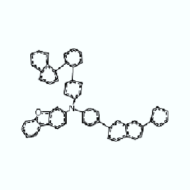 c1ccc(-c2ccc3ccc(-c4ccc(N(c5ccc(-c6ccccc6-c6cccc7ccccc67)cc5)c5ccc6c(c5)oc5ccccc56)cc4)cc3c2)cc1